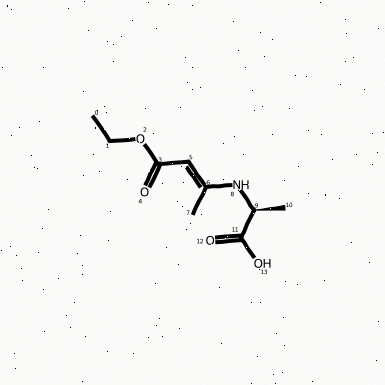 CCOC(=O)/C=C(\C)N[C@@H](C)C(=O)O